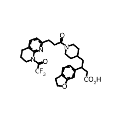 O=C(O)CC(CC1CCN(C(=O)CCc2ccc3c(n2)N(C(=O)C(F)(F)F)CCC3)CC1)c1ccc2c(c1)OCC2